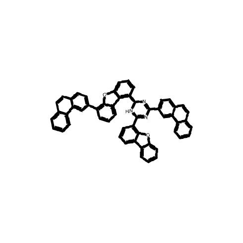 c1ccc2c(c1)ccc1ccc(C3=NC(c4cccc5oc6c(-c7ccc8ccc9ccccc9c8c7)cccc6c45)NC(c4cccc5c4oc4ccccc45)=N3)cc12